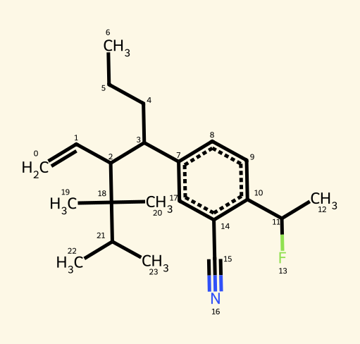 C=CC(C(CCC)c1ccc(C(C)F)c(C#N)c1)C(C)(C)C(C)C